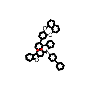 c1ccc(-c2ccc(N(c3ccc4c(c3)oc3ccccc34)c3ccccc3-c3ccccc3-c3ccc4c(c3)Oc3cccc5cccc(c35)O4)cc2)cc1